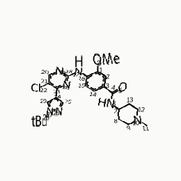 COc1cc(C(=O)NC2CCN(C)CC2)ccc1Nc1ncc(Cl)c(-c2cnn(C(C)(C)C)c2)n1